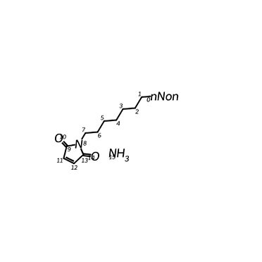 CCCCCCCCCCCCCCCCN1C(=O)C=CC1=O.N